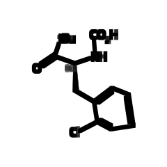 CC(C)(C)C(=O)[C@H](Cc1ccccc1Cl)NC(=O)O